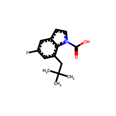 CC(C)(C)Cc1cc(F)cc2ccn(C(=O)O)c12